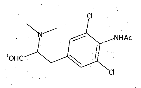 CC(=O)Nc1c(Cl)cc(CC(C=O)N(C)C)cc1Cl